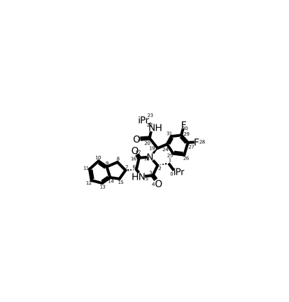 CC(C)C[C@@H]1C(=O)N[C@H](C2Cc3ccccc3C2)C(=O)N1[C@@H](C(=O)NC(C)C)c1ccc(F)c(F)c1